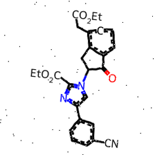 CCOC(=O)Cc1cccc2c1CC(n1cc(-c3cccc(C#N)c3)nc1C(=O)OCC)C2=O